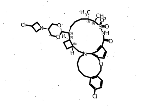 C[C@@H]1[C@@H](C)CCC[C@H]([C@H]2OC[C@H](N3CC(Cl)C3)CO2)[C@@H]2CC[C@H]2CN2CCCCc3cc(Cl)ccc3COc3ccc(cc32)C(=O)NS1(=O)=O